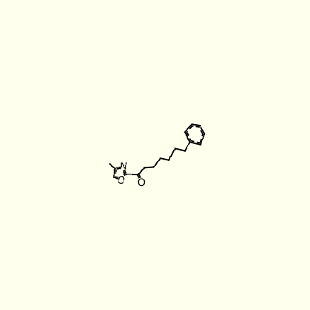 Cc1coc(C(=O)CCCCCCc2ccccc2)n1